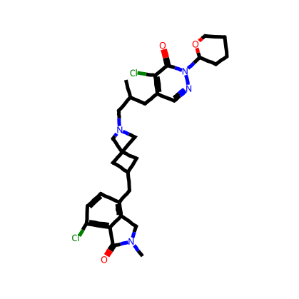 CC(Cc1cnn(C2CCCCO2)c(=O)c1Cl)CN1CC2(CC(Cc3ccc(Cl)c4c3CN(C)C4=O)C2)C1